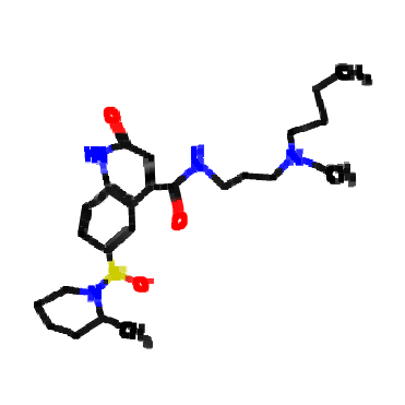 CCCCN(C)CCCNC(=O)c1cc(=O)[nH]c2ccc([S+]([O-])N3CCCCC3C)cc12